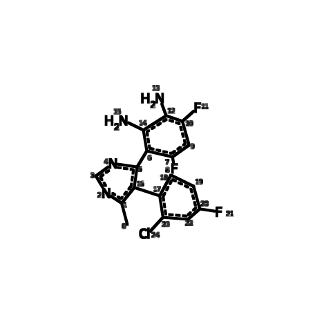 Cc1ncnc(-c2c(F)cc(F)c(N)c2N)c1-c1ccc(F)cc1Cl